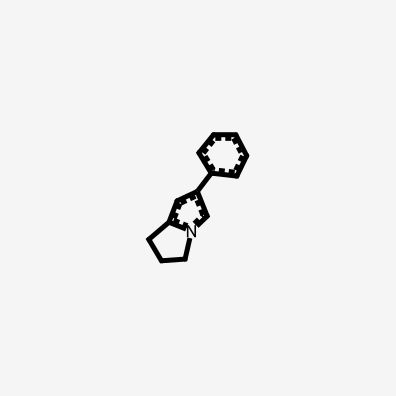 c1ccc(-c2cc3n(c2)CCC3)cc1